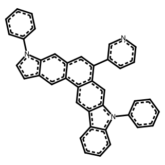 c1ccc(-n2ccc3cc4c(cc(-c5cccnc5)c5cc6c(cc54)c4ccccc4n6-c4ccccc4)cc32)cc1